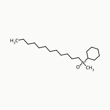 CCCCCCCCCCCC[N+](C)([O-])C1CCCCC1